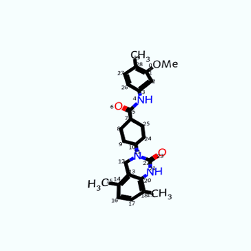 COc1cc(NC(=O)C2CCC(N3Cc4c(C)ccc(C)c4NC3=O)CC2)ccc1C